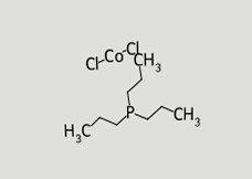 CCCP(CCC)CCC.[Cl][Co][Cl]